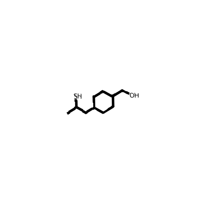 CC(S)CC1CCC(CO)CC1